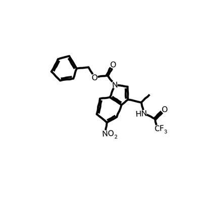 CC(NC(=O)C(F)(F)F)c1cn(C(=O)OCc2ccccc2)c2ccc([N+](=O)[O-])cc12